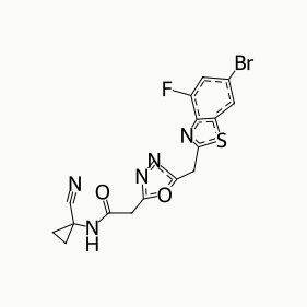 N#CC1(NC(=O)Cc2nnc(Cc3nc4c(F)cc(Br)cc4s3)o2)CC1